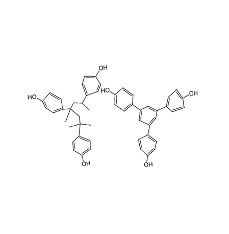 CC(CC(C)(CC(C)(C)c1ccc(O)cc1)c1ccc(O)cc1)c1ccc(O)cc1.Oc1ccc(-c2cc(-c3ccc(O)cc3)cc(-c3ccc(O)cc3)c2)cc1